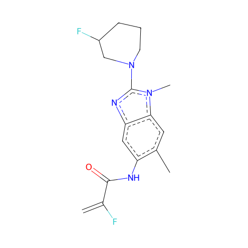 C=C(F)C(=O)Nc1cc2nc(N3CCCC(F)C3)n(C)c2cc1C